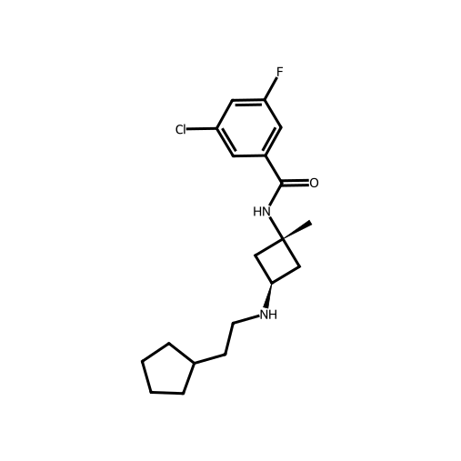 C[C@]1(NC(=O)c2cc(F)cc(Cl)c2)C[C@H](NCCC2CCCC2)C1